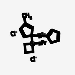 CCC[Si]1([C]2([Ti+2][C]3=CC=CC3)C=CC(C)=C2)CCC1.[Cl-].[Cl-]